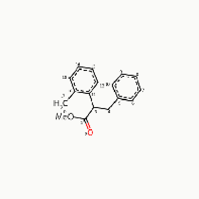 COC(=O)C(Cc1ccccc1)c1ccccc1C